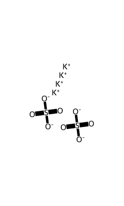 O=S(=O)([O-])[O-].O=S(=O)([O-])[O-].[K+].[K+].[K+].[K+]